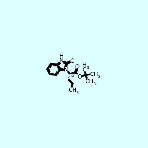 CCC[C@@H](C(=O)OC(C)(C)C)n1c(=O)[nH]c2ccccc21